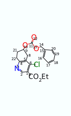 CCOC(=O)c1cnc2c(c1Cl)CC(OC(=O)OCc1ccccc1)CC2